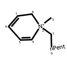 CCCCCC[N+]1(C)C=CC=CC1